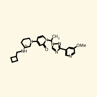 COc1cncc(-c2ncn(C(C)n3ccc(N4CCC[C@@H](NCC5CCC5)C4)cc3=O)n2)c1